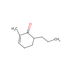 CCCC1C[CH]C=C(C)C1=O